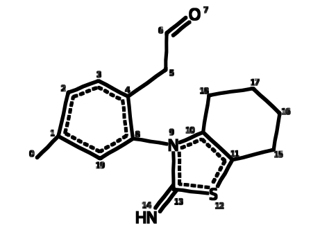 Cc1ccc(CC=O)c(-n2c3c(sc2=N)CCCC3)c1